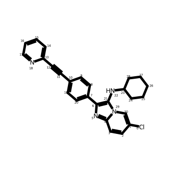 Clc1ccc2nc(-c3ccc(C#Cc4ccccn4)cc3)c(NC3CCCCC3)n2c1